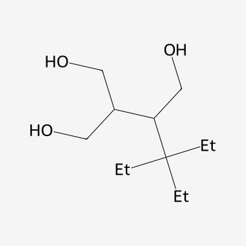 CCC(CC)(CC)C(CO)C(CO)CO